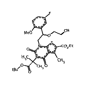 CCOC(=O)c1sc2c(c1C)c(=O)n(C(C)(C)C(=O)OC(C)(C)C)c(=O)n2CC(OCCC#N)c1cc(F)ccc1OC